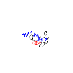 Cc1cc2c3n1C(c1ccccc1)=CN(n1c(C)nc4cc(-c5nnn[nH]5)ccc4c1=O)C(=O)C3=CCC2